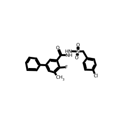 Cc1cc(-c2ccccc2)cc(C(=O)NNS(=O)(=O)Cc2ccc(Cl)cc2)c1F